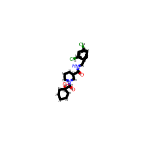 O=C(NCc1ccc(Cl)cc1Cl)C1CCCN(C(=O)C2(O)CCCCC2)C1